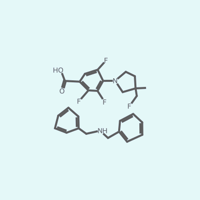 CC1(CF)CCN(c2c(F)cc(C(=O)O)c(F)c2F)C1.c1ccc(CNCc2ccccc2)cc1